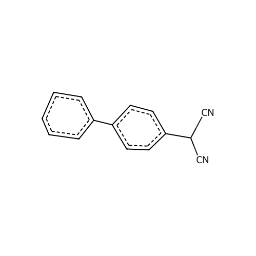 N#CC(C#N)c1ccc(-c2ccccc2)cc1